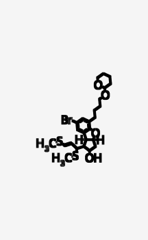 CSC=CC(SC)C1C(O)C[C@H]2Oc3c(CCCCOC4CCCCO4)cc(Br)cc3[C@@H]12